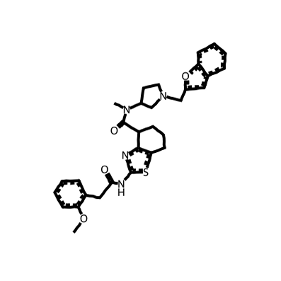 COc1ccccc1CC(=O)Nc1nc2c(s1)CCCC2C(=O)N(C)C1CCN(Cc2cc3ccccc3o2)C1